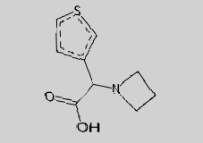 O=C(O)C(c1ccsc1)N1CCC1